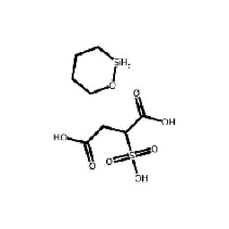 C1CC[SiH2]OC1.O=C(O)CC(C(=O)O)S(=O)(=O)O